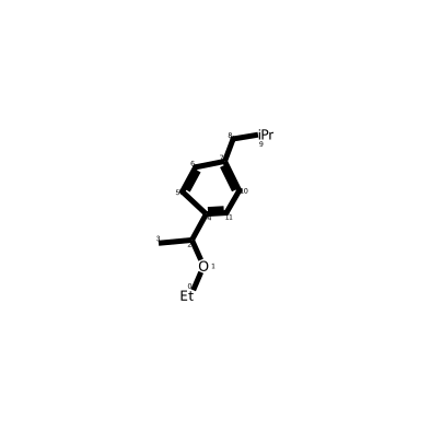 CCOC(C)c1ccc(CC(C)C)cc1